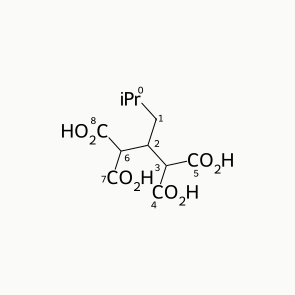 CC(C)CC(C(C(=O)O)C(=O)O)C(C(=O)O)C(=O)O